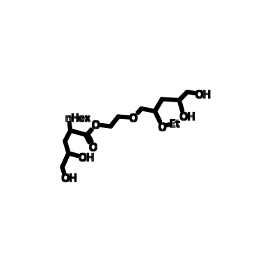 CCCCCCC(CC(O)CO)C(=O)OCCOCC(CC(O)CO)OCC